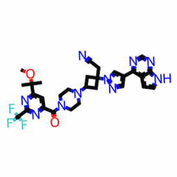 COC(C)(C)c1cc(C(=O)N2CCN(C3CC(CC#N)(n4cc(-c5ncnc6[nH]ccc56)cn4)C3)CC2)nc(C(F)(F)F)n1